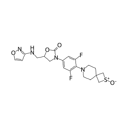 O=C1OC(CNc2ccon2)CN1c1cc(F)c(N2CCC3(CC2)C[S+]([O-])C3)c(F)c1